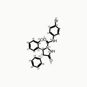 O=C1NN(C(=O)Nc2ccc(Br)cc2)[C@H](c2ccccc2Cl)[C@H]1c1ccccc1